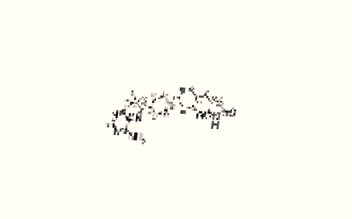 CC1(C)Oc2ncnc(N)c2N=C1c1ccc([C@H]2CC[C@H](CC3SC(=O)NC3=O)CC2)cc1